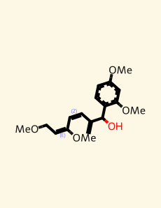 C=C(/C=C\C(=C/COC)OC)C(O)c1ccc(OC)cc1OC